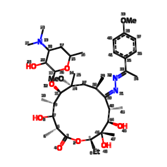 CC[C@H]1OC(=O)[C@H](C)C(O)[C@H](C)[C@@H](OC2OC(C)CC(N(C)C)C2O)[C@](C)(OC)C[C@@H](C)/C(=N\N=C(/C)c2ccc(OC)cc2)[C@H](C)[C@@H](O)[C@]1(C)O